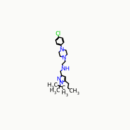 CCCc1cc(CNCCN2CCN(c3ccc(Cl)cc3)CC2)nn1C(C)(C)C